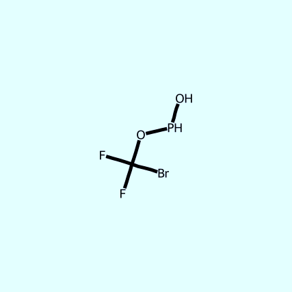 OPOC(F)(F)Br